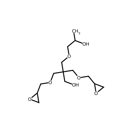 CC(O)COCC(CO)(COCC1CO1)COCC1CO1